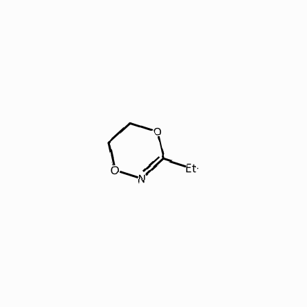 C[CH]C1=NOCCO1